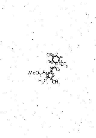 COCCn1c(C)c(C)sc1=NC(=O)c1c(C(F)(F)F)ccc(Cl)c1F